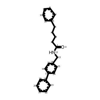 O=C(CCCCc1ccccc1)NCc1ccc(-c2ccccc2)cc1